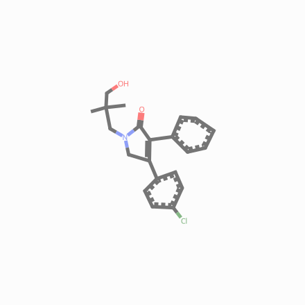 CC(C)(CO)CN1CC(c2ccc(Cl)cc2)=C(c2ccccc2)C1=O